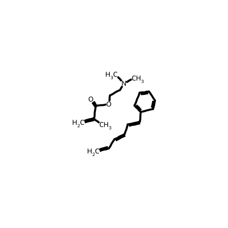 C=C(C)C(=O)OCCN(C)C.C=CC=CC=Cc1ccccc1